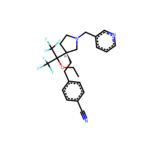 CCOC(C(F)(F)F)(C(F)(F)F)[C@]1(CCc2ccc(C#N)cc2)CCN(Cc2cccnc2)C1